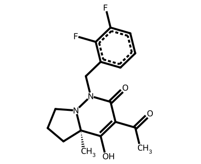 CC(=O)C1=C(O)[C@@]2(C)CCCN2N(Cc2cccc(F)c2F)C1=O